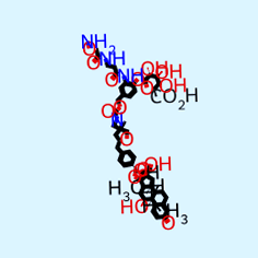 C[C@]12C=CC(=O)C=C1CC[C@@H]1[C@@H]2[C@@H](O)C[C@@]2(C)[C@H]1C[C@H]1O[C@@H](c3ccc(CC4CC5(CO4)CN(C(=O)OCc4ccc(O[C@@H]6O[C@H](C(=O)O)[C@@H](O)[C@H](O)[C@H]6O)c(NC(=O)CCNC(=O)CON)c4)C5)cc3)O[C@]12C(=O)CO